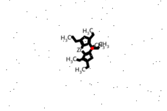 CCCC1=[C]([Zr][C]2=C(CCC)CC(CC)=C2CC)C(CC)=C(CC)C1